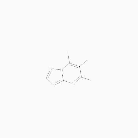 Cc1c(I)nc2ncnn2c1I